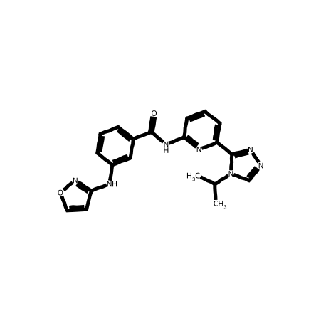 CC(C)n1cnnc1-c1cccc(NC(=O)c2cccc(Nc3ccon3)c2)n1